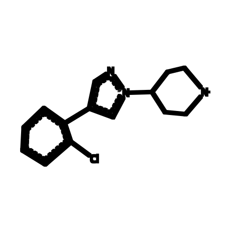 Clc1ccccc1-c1cnn(C2CC[N]CC2)c1